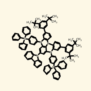 CC(C)(C)c1cc(-c2ccc3c(c2)N(c2ccc([Si](c4ccccc4)(c4ccccc4)c4ccccc4)cc2)c2cc(-n4c5ccccc5c5ccccc54)cc4c2B3c2ccc(-c3cc(C(C)(C)C)cc(C(C)(C)C)c3)cc2N4c2ccc([Si](c3ccccc3)(c3ccccc3)c3ccccc3)cc2)cc(C(C)(C)C)c1